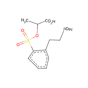 CCCCCCCCCCCCc1ccccc1S(=O)(=O)OC(C)C(=O)O